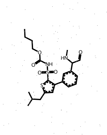 CCCCOC(=O)NS(=O)(=O)c1sc(CC(C)C)cc1-c1cccc(C(C=O)NC)c1